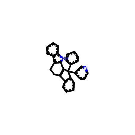 c1ccc(C2(c3cccnc3)C3=C(CCc4c3[nH]c3ccccc43)c3ccccc32)cc1